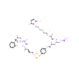 CNC(C(=O)NC(C(=O)N(C)C(/C=C(\C)C(=O)NS(=O)(=O)Cc1ccc(NC(=O)C(CCCNC(N)=O)NC(=O)C(NC(=O)CCCCCN2C(=O)C=CC2=O)C(C)C)cc1)C(C)C)C(C)(C)C)C(C)(C)c1ccccc1